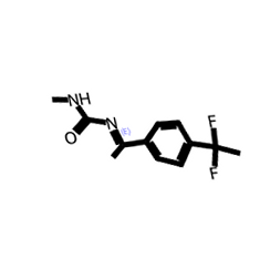 CNC(=O)/N=C(\C)c1ccc(C(C)(F)F)cc1